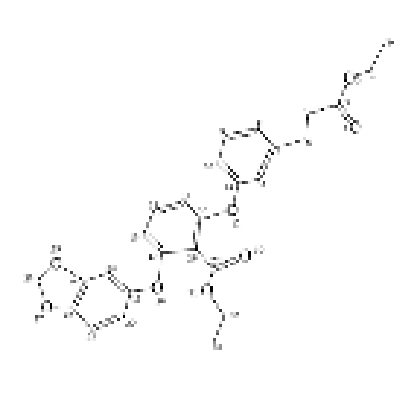 CCOC(=O)CCc1cccc(Oc2cccc(Oc3ccc4c(c3)OCO4)c2C(=O)OCC)c1